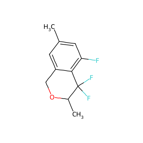 Cc1cc(F)c2c(c1)COC(C)C2(F)F